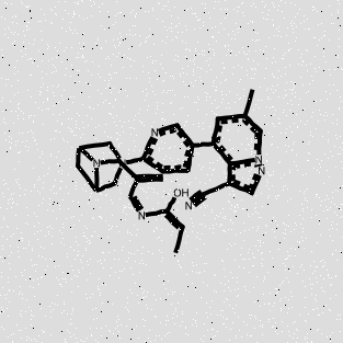 C=C(/C=N\C(O)=C/C)CN1C2CC1CN(c1ccc(-c3cc(C)cn4ncc(C#N)c34)cn1)C2